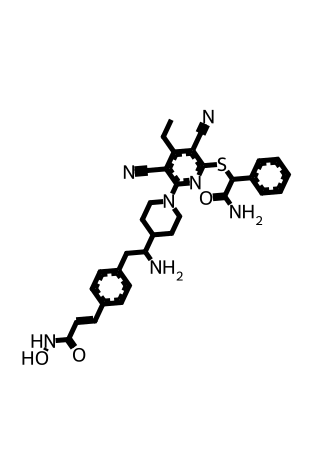 CCc1c(C#N)c(SC(C(N)=O)c2ccccc2)nc(N2CCC(C(N)Cc3ccc(C=CC(=O)NO)cc3)CC2)c1C#N